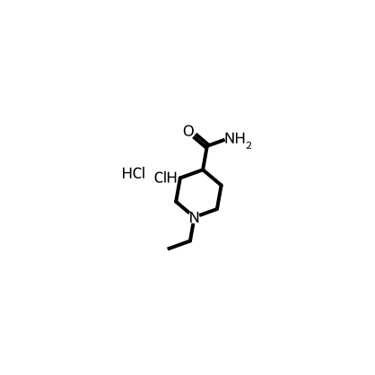 CCN1CCC(C(N)=O)CC1.Cl.Cl